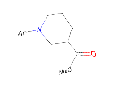 [CH2]C(=O)N1CCCC(C(=O)OC)C1